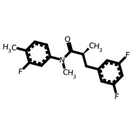 Cc1ccc(N(C)C(=O)[C@@H](C)Cc2cc(F)cc(F)c2)cc1F